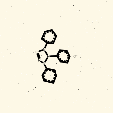 [C+]1=NN(c2ccccc2)N(c2ccccc2)N1c1ccccc1.[Cl-]